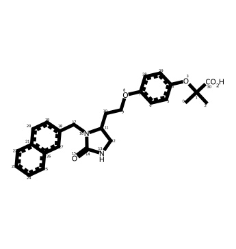 CC(C)(Oc1ccc(OCCC2CNC(=O)N2Cc2ccc3ccccc3c2)cc1)C(=O)O